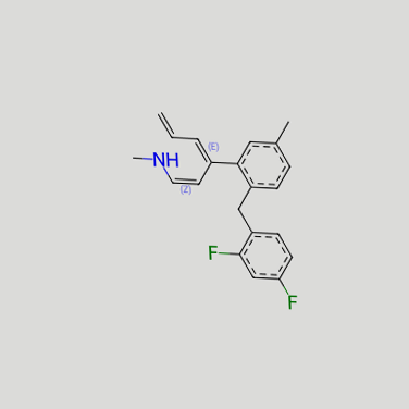 C=C/C=C(\C=C/NC)c1cc(C)ccc1Cc1ccc(F)cc1F